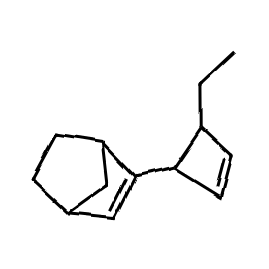 CCC1C=CC1C1=CC2CCC1C2